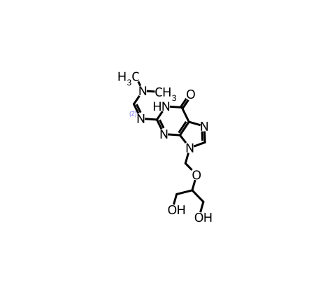 CN(C)/C=N\c1nc2c(ncn2COC(CO)CO)c(=O)[nH]1